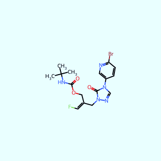 CC(C)(C)NC(=O)OC/C(=C\F)Cn1ncn(-c2ccc(Br)nc2)c1=O